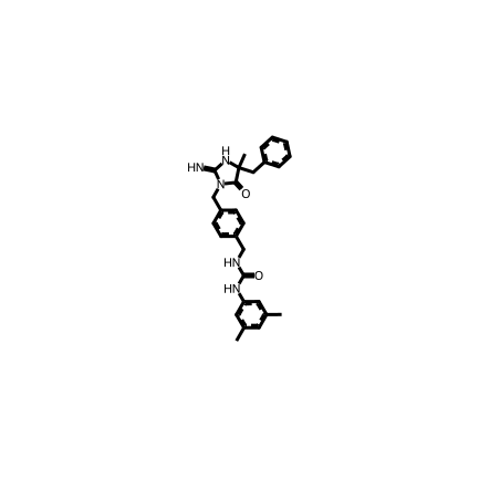 Cc1cc(C)cc(NC(=O)NCc2ccc(CN3C(=N)NC(C)(Cc4ccccc4)C3=O)cc2)c1